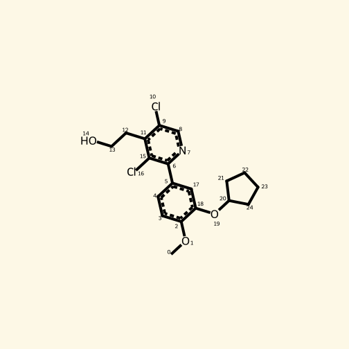 COc1ccc(-c2ncc(Cl)c(CCO)c2Cl)cc1OC1CCCC1